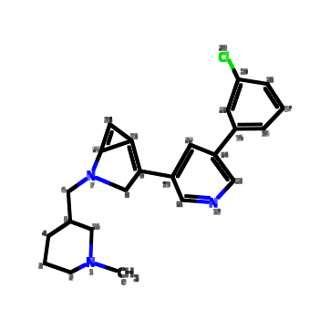 CN1CCCC(CN2CC(c3cncc(-c4cccc(Cl)c4)c3)=C3C=C32)C1